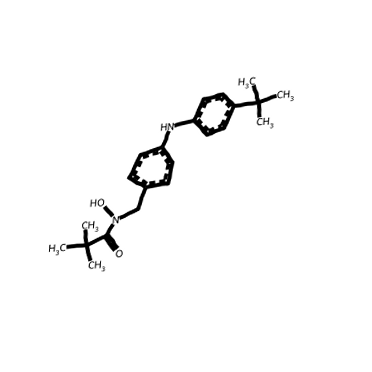 CC(C)(C)C(=O)N(O)Cc1ccc(Nc2ccc(C(C)(C)C)cc2)cc1